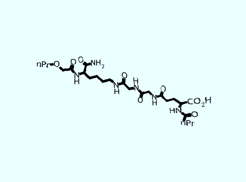 CCCOCC(=O)NC(CCCCNC(=O)CNC(=O)CNC(=O)CCC(NC(=O)CCC)C(=O)O)C(N)=O